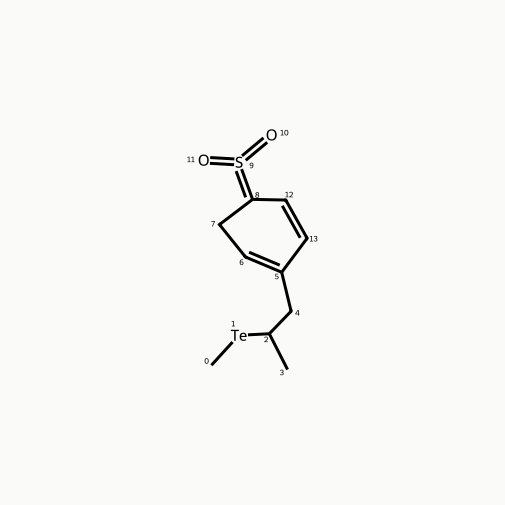 C[Te]C(C)CC1=CCC(=S(=O)=O)C=C1